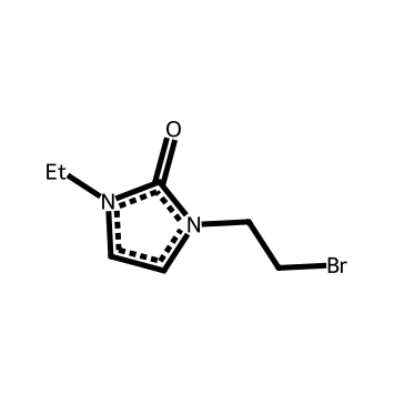 CCn1ccn(CCBr)c1=O